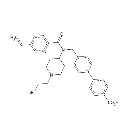 C=Cc1ccc(C(=O)N(Cc2ccc(-c3ccc(C(=O)O)cc3)cc2)C2CCN(CCC(C)C)CC2)nc1